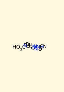 CC(C)(C)N(C(=O)O)c1ccc(-c2ccc3nc(Nc4ccccc4C#N)nn3c2)cc1